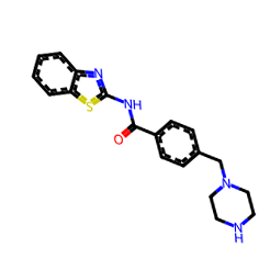 O=C(Nc1nc2ccccc2s1)c1ccc(CN2CCNCC2)cc1